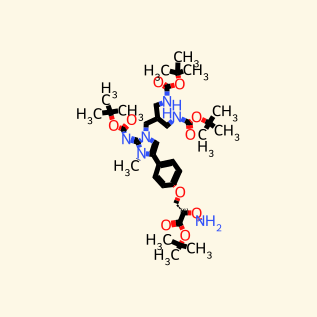 Cn1c(-c2ccc(OC[C@H](ON)C(=O)OC(C)(C)C)cc2)cn(CC(CNC(=O)OC(C)(C)C)CNC(=O)OC(C)(C)C)c1=NC(=O)OC(C)(C)C